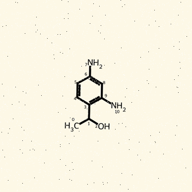 CC(O)c1ccc(N)cc1N